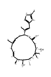 C/C1=C/C[C@@H](/C(C)=C/c2csc(C)n2)OC(=O)C[C@H](O)C(C)(C)S[C@H](C)[C@@H](O)[C@@H](C)/C=C/C1